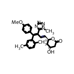 COc1ccc(C(=C(/C=C/[C@@H]2C[C@@H](O)CC(=O)O2)c2nnnn2C)c2cc(C)ccc2C)cc1